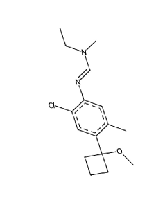 CCN(C)C=Nc1cc(C)c(C2(OC)CCC2)cc1Cl